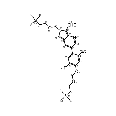 CCc1cc(OCOCC[Si](C)(C)C)c(F)cc1-c1cnc2c(C=O)n(COCC[Si](C)(C)C)nc2c1